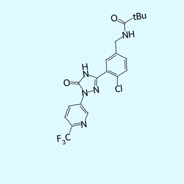 CC(C)(C)C(=O)NCc1ccc(Cl)c(-c2nn(-c3ccc(C(F)(F)F)nc3)c(=O)[nH]2)c1